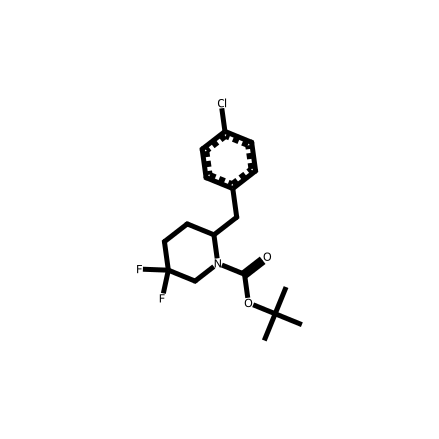 CC(C)(C)OC(=O)N1CC(F)(F)CCC1Cc1ccc(Cl)cc1